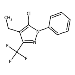 CCc1c(C(F)(F)F)nn(-c2ccccc2)c1Cl